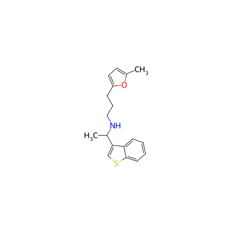 Cc1ccc(CCCNC(C)c2csc3ccccc23)o1